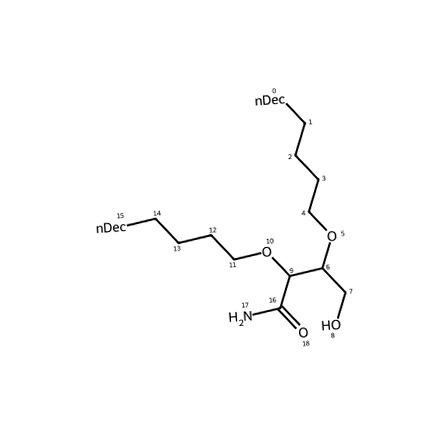 CCCCCCCCCCCCCCOC(CO)C(OCCCCCCCCCCCCCC)C(N)=O